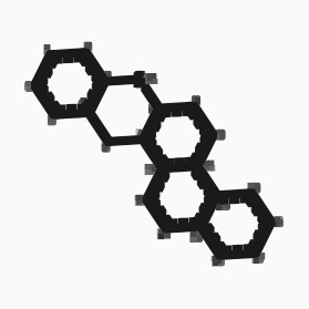 c1ccc2c(c1)Cc1c(ccc3c1ccc1ccccc13)S2